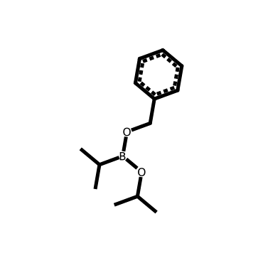 CC(C)OB(OCc1ccccc1)C(C)C